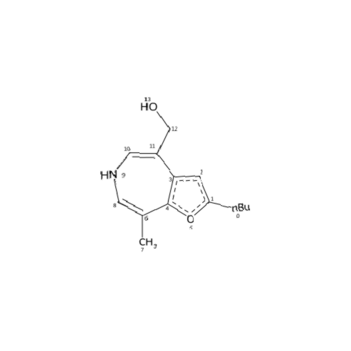 CCCCc1cc2c(o1)C(C)=CNC=C2CO